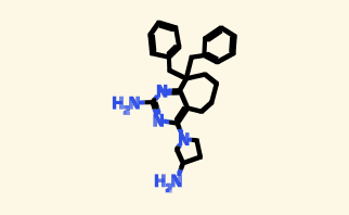 Nc1nc(N2CCC(N)C2)c2c(n1)C(Cc1ccccc1)(Cc1ccccc1)CCCC2